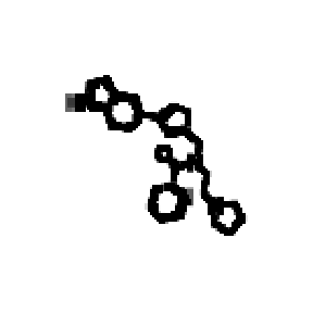 O=C(c1ccccn1)N(CCN1CCCC1)CC1=CC(c2ccc3[nH]ccc3c2)=CC1